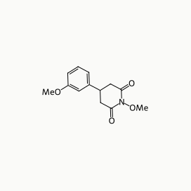 COc1cccc(C2CC(=O)N(OC)C(=O)C2)c1